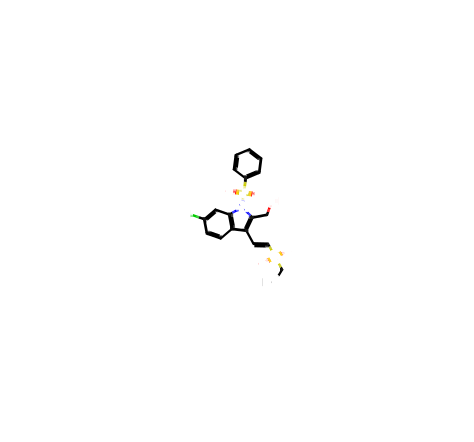 CCS(=O)(=O)C=Cc1c(CO)n(S(=O)(=O)c2ccccc2)c2cc(Cl)ccc12